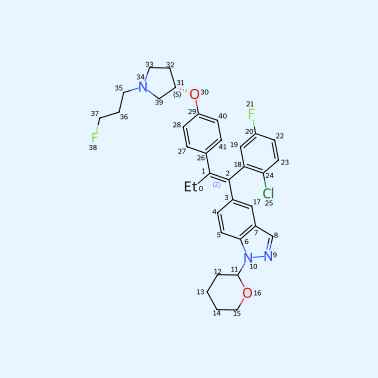 CC/C(=C(\c1ccc2c(cnn2C2CCCCO2)c1)c1cc(F)ccc1Cl)c1ccc(O[C@H]2CCN(CCCF)C2)cc1